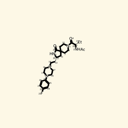 CC[C@H](NC(C)=O)C(=O)N1CCC2(CC1)C[C@H](CCN1CCN(c3ccc(F)cc3)CC1)NC2=O